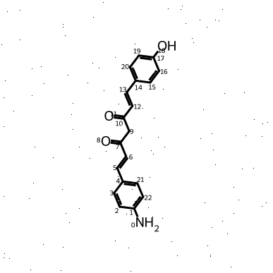 Nc1ccc(C=CC(=O)CC(=O)C=Cc2ccc(O)cc2)cc1